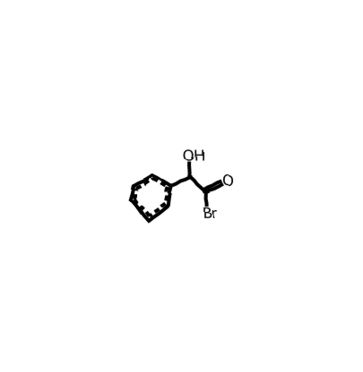 O=C(Br)C(O)c1ccccc1